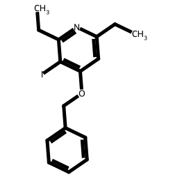 CCc1cc(OCc2ccccc2)c(I)c(CC)n1